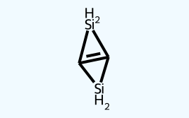 [SiH2]1C2=C1[SiH2]2